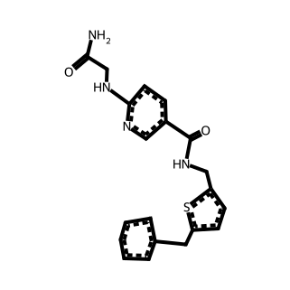 NC(=O)CNc1ccc(C(=O)NCc2ccc(Cc3ccccc3)s2)cn1